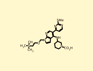 CSc1nccc(-c2cnc3c(ccn3COCC[Si](C)(C)C)c2NC2CCCN(C(=O)O)C2)n1